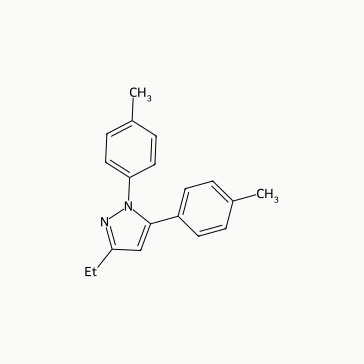 CCc1cc(-c2ccc(C)cc2)n(-c2ccc(C)cc2)n1